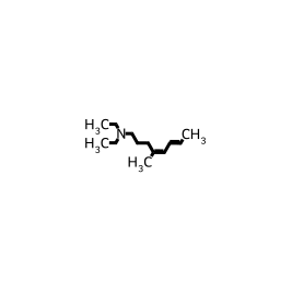 CC=CC=C(C)CCCN(CC)CC